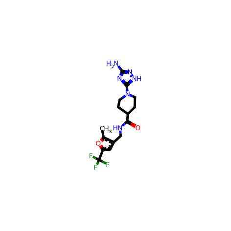 Cc1oc(C(F)(F)F)cc1CNC(=O)C1CCN(c2nc(N)n[nH]2)CC1